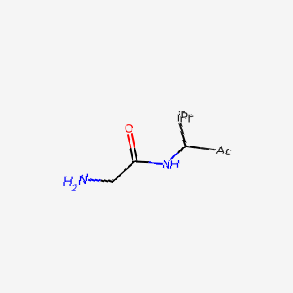 CC(=O)C(NC(=O)CN)C(C)C